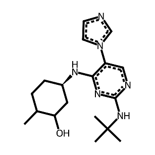 CC1CC[C@@H](Nc2nc(NC(C)(C)C)ncc2-n2ccnc2)CC1O